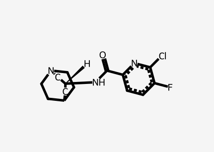 O=C(N[C@@H]1CC2CCN(CC2)C1)c1ccc(F)c(Cl)n1